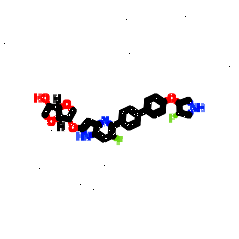 O[C@@H]1CO[C@H]2[C@@H]1OC[C@H]2Oc1cc2nc(-c3ccc(-c4ccc(OC5CNC[C@H]5F)cc4)cc3)c(F)cc2[nH]1